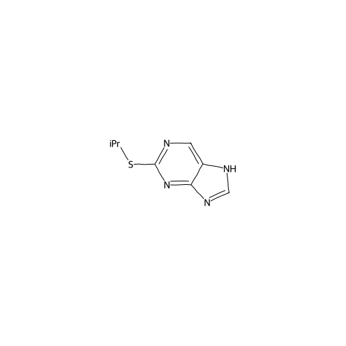 CC(C)Sc1ncc2[nH]cnc2n1